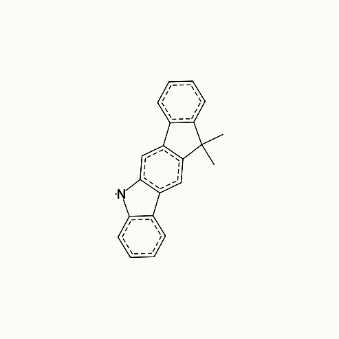 CC1(C)c2ccccc2-c2cc3c(cc21)-c1ccccc1[N]3